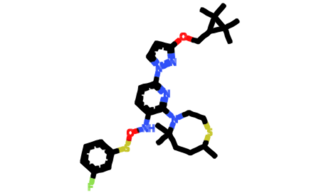 CC1CCC(C)(C)N(c2nc(-n3ccc(OCC4C(C)(C)C4(C)C)n3)ccc2NOSc2cccc(F)c2)CCS1